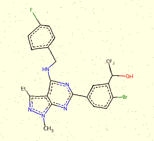 CCc1nn(C)c2nc(-c3ccc(Br)c(C(O)C(F)(F)F)c3)nc(NCc3ccc(F)cc3)c12